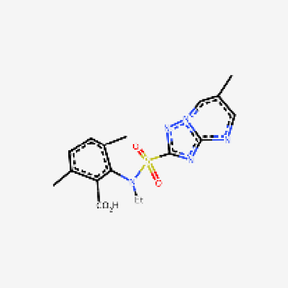 CCN(c1c(C)ccc(C)c1C(=O)O)S(=O)(=O)c1nc2ncc(C)cn2n1